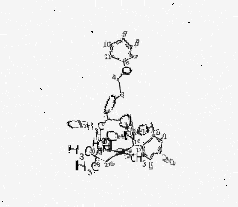 CC(OCCOc1ccccc1)O[N+](C)(C)C(c1ccccc1)C(C)(C)CC(C)(C)C.[Cl-]